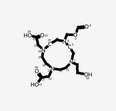 O=COCN1CCN(CCO)CCN(CC(=O)O)CCN(CC(=O)O)CC1